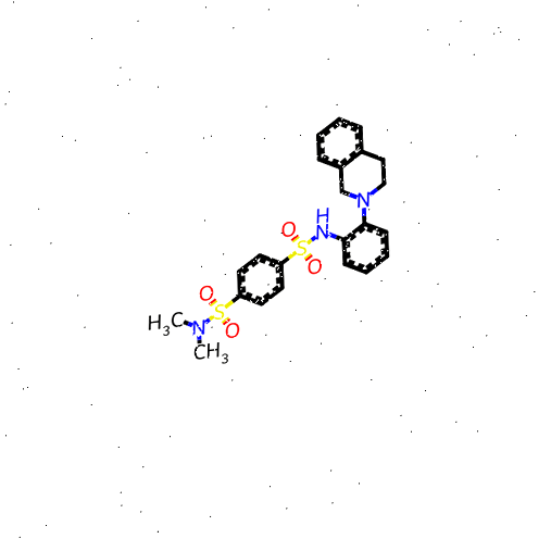 CN(C)S(=O)(=O)c1ccc(S(=O)(=O)Nc2ccccc2N2CCc3ccccc3C2)cc1